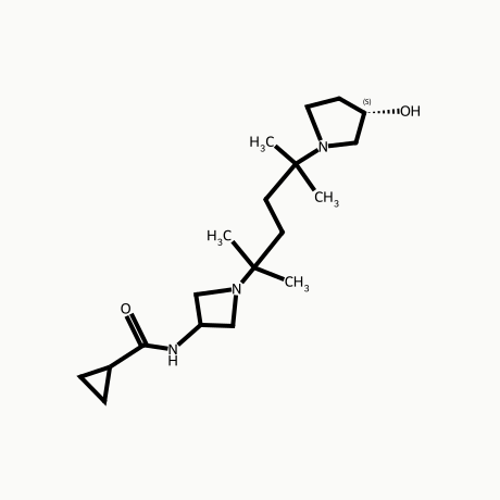 CC(C)(CCC(C)(C)N1CC[C@H](O)C1)N1CC(NC(=O)C2CC2)C1